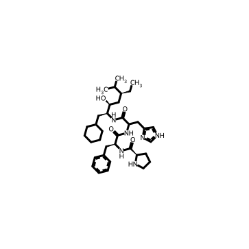 CC[C@@H](C[C@H](O)[C@H](CC1CCCCC1)NC(=O)C(Cc1c[nH]cn1)NC(=O)[C@H](Cc1ccccc1)NC(=O)[C@H]1CCCN1)C(C)C